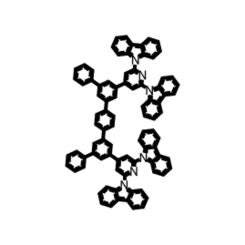 c1ccc(-c2cc(-c3ccc(-c4cc(-c5ccccc5)cc(-c5cc(-n6c7ccccc7c7ccccc76)nc(-n6c7ccccc7c7ccccc76)c5)c4)cc3)cc(-c3cc(-n4c5ccccc5c5ccccc54)nc(-n4c5ccccc5c5ccccc54)c3)c2)cc1